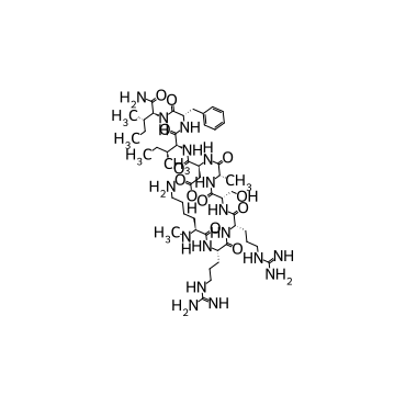 CC[C@H](C)[C@H](NC(=O)[C@H](Cc1ccccc1)NC(=O)[C@@H](NC(=O)[C@H](CC(=O)O)NC(=O)[C@H](C)NC(=O)[C@H](CO)NC(=O)[C@H](CCCNC(=N)N)NC(=O)[C@H](CCCNC(=N)N)NC(=O)[C@H](CCCCN)NC)[C@@H](C)CC)C(N)=O